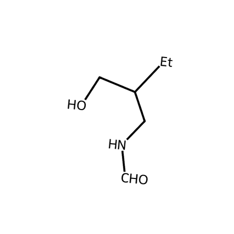 CCC(CO)CNC=O